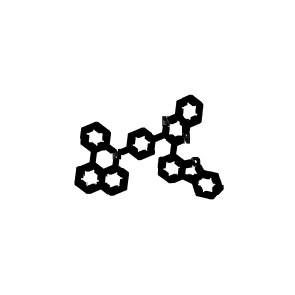 c1ccc2c(c1)-c1cccc3cccc(c13)N2c1ccc(-c2nc3ccccc3nc2-c2cccc3c2oc2ccccc23)cc1